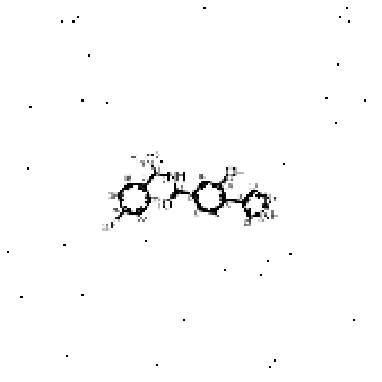 C[C@@H](NC(=O)c1ccc(-c2cn[nH]c2)c(O)c1)c1ccc(F)cc1